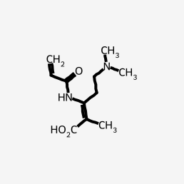 C=CC(=O)NC(CCN(C)C)=C(C)C(=O)O